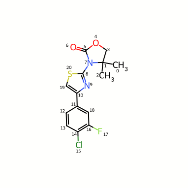 CC1(C)COC(=O)N1c1nc(-c2ccc(Cl)c(F)c2)cs1